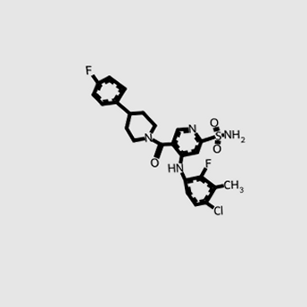 Cc1c(Cl)ccc(Nc2cc(S(N)(=O)=O)ncc2C(=O)N2CCC(c3ccc(F)cc3)CC2)c1F